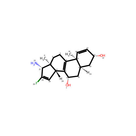 C[C@]12CCC3=C([C@@H](O)C[C@@H]4C[C@@H](O)C=C[C@]34C)[C@@H]1C=C(F)[C@@H]2N